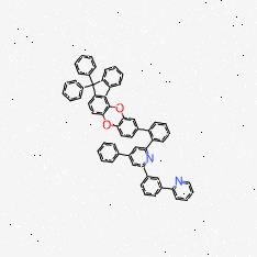 c1ccc(-c2cc(-c3cccc(-c4ccccn4)c3)nc(-c3ccccc3-c3ccc4c(c3)Oc3c(ccc5c3-c3ccccc3C5(c3ccccc3)c3ccccc3)O4)c2)cc1